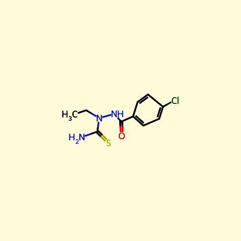 CCN(NC(=O)c1ccc(Cl)cc1)C(N)=S